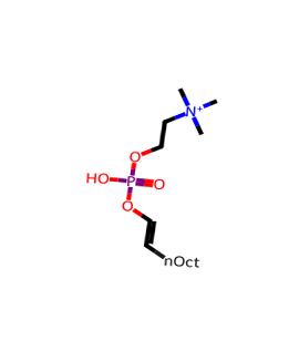 CCCCCCCCC=COP(=O)(O)OCC[N+](C)(C)C